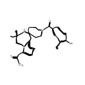 Cc1cc(C(=O)N2CCC3(CC2)NC(C)(C)Cn2c(C(=O)C(F)(F)F)ccc23)ccc1O